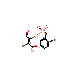 Cc1ccccc1CP(=O)(O)O.O=CC(Br)=C(Br)C(=O)O